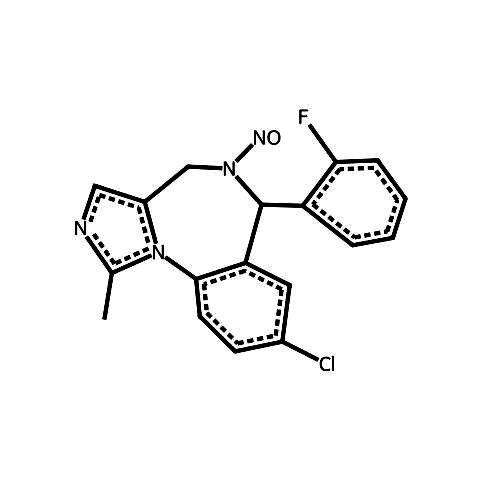 Cc1ncc2n1-c1ccc(Cl)cc1C(c1ccccc1F)N(N=O)C2